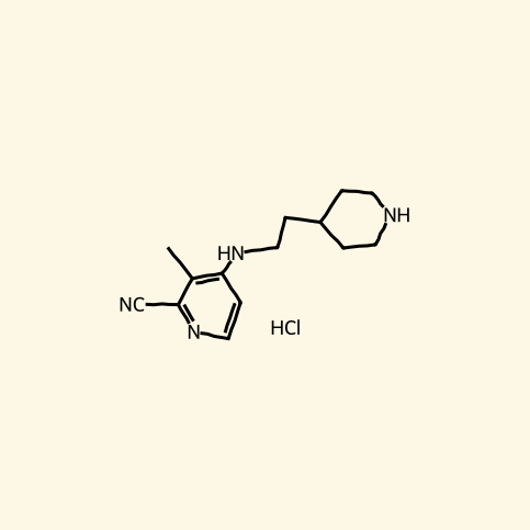 Cc1c(NCCC2CCNCC2)ccnc1C#N.Cl